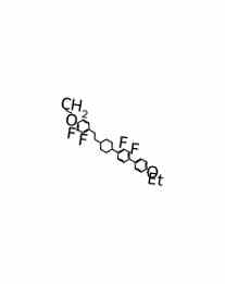 C=CCOc1ccc(CCC2CCC(c3ccc(-c4ccc(OCC)cc4)c(F)c3F)CC2)c(F)c1F